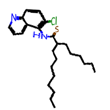 CCCCCCCCC(CCCCCC)C(=S)Nc1c(Cl)ccc2ncccc12